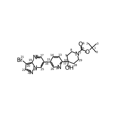 CC(C)(C)OC(=O)N1CCC(O)(c2ccc(-c3cnc4c(Br)cnn4c3)cn2)CC1